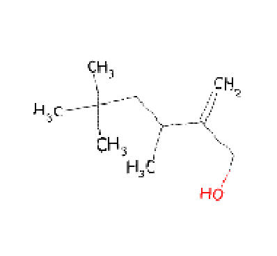 C=C(CO)C(C)CC(C)(C)C